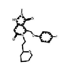 Cn1[nH]c2cc(=O)n(CCC3CCCCO3)c(COc3ccc(F)cc3)c2c1=O